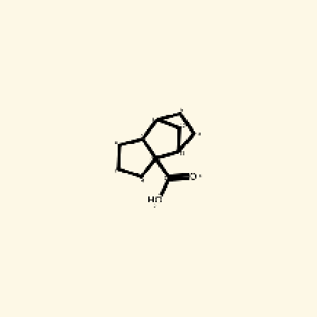 O=C(O)C12CCCC1C1CCC2C1